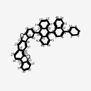 C1=CCCC(c2ccc(-c3c4ccccc4c(C4=CC=C5Oc6cc7ccc8c9ccccc9oc8c7cc6C5C4)c4ccccc34)c3ccccc23)=C1